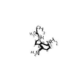 CC(C)Nn1ccc2c(N)ccc(N)c21